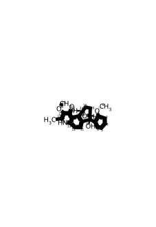 COc1ccccc1[C@]1(O)c2ccc3[nH]c(C)c(OC)c(=O)c3c2[C@@H]2CC[C@H]1O2